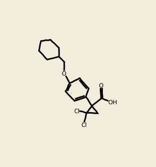 O=C(O)C1(c2ccc(OCC3CCCCC3)cc2)CC1(Cl)Cl